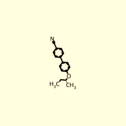 CC[C@@H](C)Oc1ccc(-c2ccc(C#N)cc2)cc1